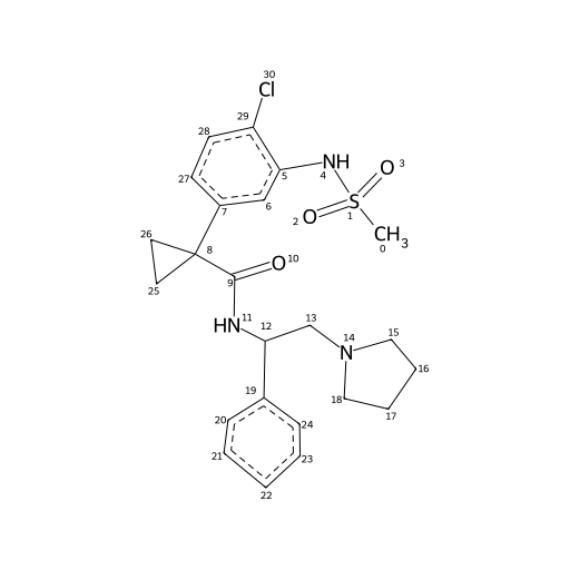 CS(=O)(=O)Nc1cc(C2(C(=O)NC(CN3CCCC3)c3ccccc3)CC2)ccc1Cl